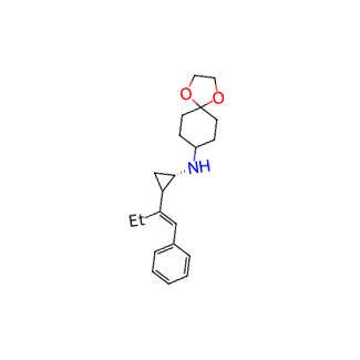 CCC(=Cc1ccccc1)C1C[C@@H]1NC1CCC2(CC1)OCCO2